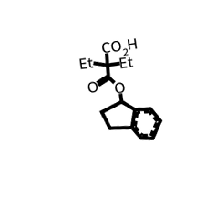 CCC(CC)(C(=O)O)C(=O)OC1CCc2ccccc21